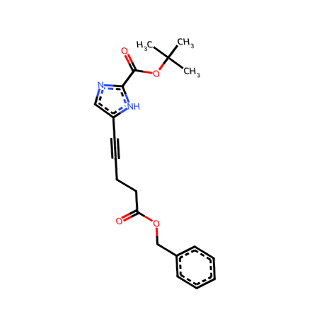 CC(C)(C)OC(=O)c1ncc(C#CCCC(=O)OCc2ccccc2)[nH]1